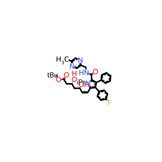 Cc1cnc(CNC(=O)c2c(-c3ccccc3)c(-c3ccc(F)cc3)c(/C=C\[C@@H](O)C[C@@H](O)CC(=O)OC(C)(C)C)n2C(C)C)cn1